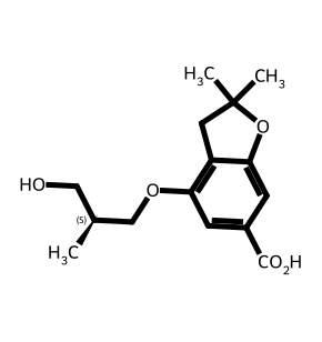 C[C@@H](CO)COc1cc(C(=O)O)cc2c1CC(C)(C)O2